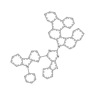 c1ccc(-n2c3ccccc3c3ccc(-c4nc(-n5c6ccc7ccccc7c6c6c7c8ccccc8c8ccccc8c7ccc65)nc5sc6ccccc6c45)cc32)cc1